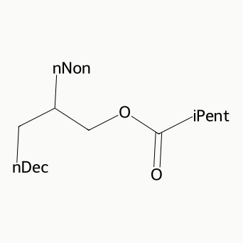 CCCCCCCCCCCC(CCCCCCCCC)COC(=O)C(C)CCC